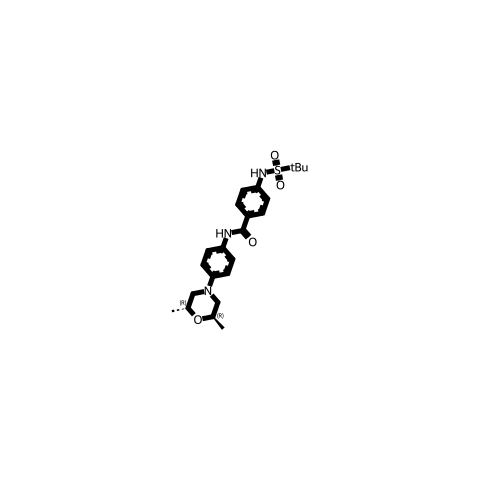 C[C@@H]1CN(c2ccc(NC(=O)c3ccc(NS(=O)(=O)C(C)(C)C)cc3)cc2)C[C@@H](C)O1